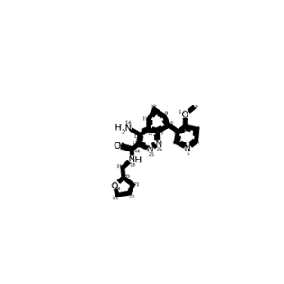 COc1ccncc1-c1cccc2c(N)c(C(=O)NCC3CCCO3)nnc12